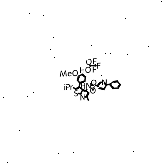 COc1cccc(-c2c(C(C)C)sc3nc(C)cc(NS(=O)(=O)c4ccc(-c5ccccc5)nc4)c23)c1.O=C(O)C(F)(F)F